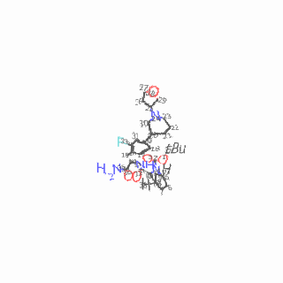 CC(C)(C)OC(=O)N1[C@@H]2CC[C@@H](C2)[C@H]1C(=O)N[C@@H](Cc1ccc(C2CCCN(C3CCOC3)C2)cc1F)C(N)=O